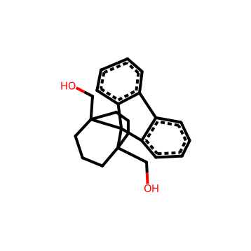 OCC12CCCC(CO)(CCC1)C21c2ccccc2-c2ccccc21